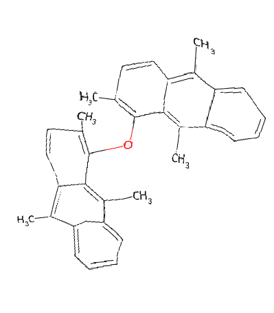 Cc1ccc2c(C)c3ccccc3c(C)c2c1Oc1c(C)ccc2c(C)c3ccccc3c(C)c12